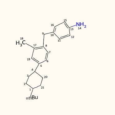 CCCCC1CCC(c2ccc(Cc3ccc(N)cc3)c(C)c2)CC1